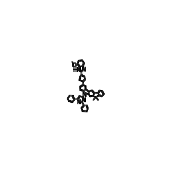 COc1cccc2nc(-c3ccc(-c4ccc5c(c4)c4cc6c(cc4n5-c4cc(C5=CCCC=C5)nc(-c5ccccc5)n4)C(C)(C)c4ccccc4-6)cc3)[nH]c12